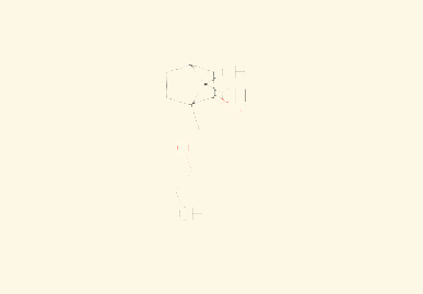 CCCOCC12CCC(CC1=O)C2(C)C